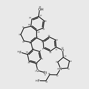 CCOc1ccc(C2=C(c3ccc(OC4CCN(CCCF)C4)cc3)c3ccc(O)cc3CCC2)c(F)c1